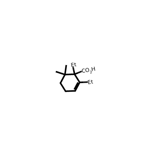 CCC1=CCCC(C)(C)C1(CC)C(=O)O